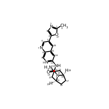 Cc1ncc(-c2cnc3cnc(NC(=O)N4[C@@H]5CC[C@H]4C[C@@H](N)C5)cc3c2)o1